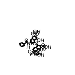 CC(=O)Nc1ccc2c(O)cc(S(=O)(=O)O)cc2c1S(=O)(=O)O.O=C(Nc1ccc2c(O)cc(S(=O)(=O)O)cc2c1)c1ccccc1